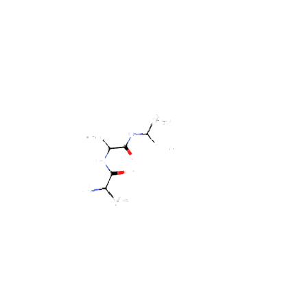 CCCCCC(N)C(=O)NC(CCCCC)C(=O)NC(CCCCC)C(=O)O